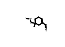 COCC1(C)CCC=C(C=O)C1